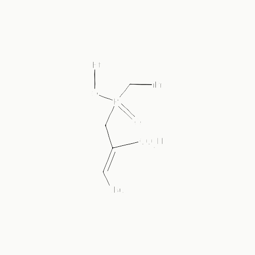 CCOP(=O)(C/C(=C/C(C)(C)C)C(=O)O)CC(C)C